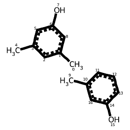 Cc1cc(C)cc(O)c1.Cc1cccc(O)c1